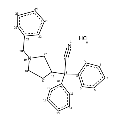 Cl.N#CC(c1ccccc1)(c1ccccc1)C1CCN(Cc2ccccc2)C1